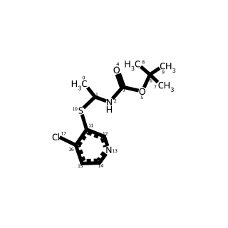 CC(NC(=O)OC(C)(C)C)Sc1cnccc1Cl